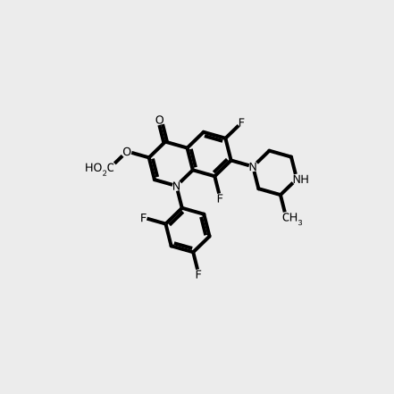 CC1CN(c2c(F)cc3c(=O)c(OC(=O)O)cn(-c4ccc(F)cc4F)c3c2F)CCN1